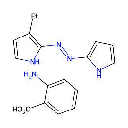 CCc1cc[nH]c1N=Nc1ccc[nH]1.Nc1ccccc1C(=O)O